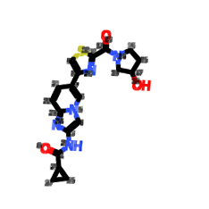 O=C(Nc1cn2cc(-c3csc(C(=O)N4CCC(O)C4)n3)ccc2n1)C1CC1